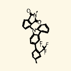 Cc1ccc(-c2ccc3c(c2)c2ccccc2n3-c2cccc3c2C(=O)N(C)C3=O)c(C(F)(F)F)c1